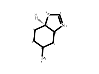 CC(C)C1CC[C@H]2SC=NC2C1